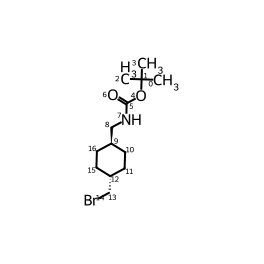 CC(C)(C)OC(=O)NC[C@H]1CC[C@H](CBr)CC1